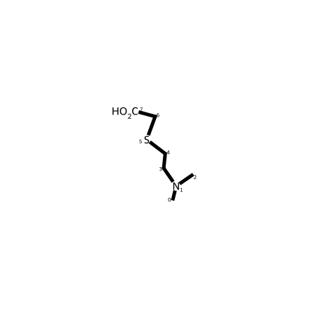 CN(C)CCSCC(=O)O